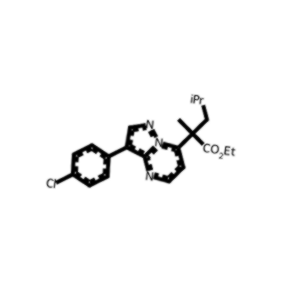 CCOC(=O)C(C)(CC(C)C)c1ccnc2c(-c3ccc(Cl)cc3)cnn12